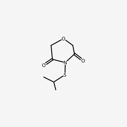 CC(C)SN1C(=O)COCC1=O